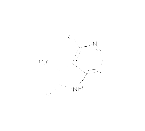 CC1C(=O)Nc2ncnc(Cl)c21